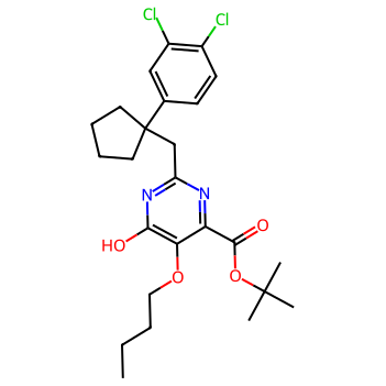 CCCCOc1c(O)nc(CC2(c3ccc(Cl)c(Cl)c3)CCCC2)nc1C(=O)OC(C)(C)C